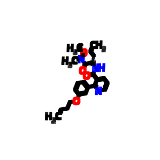 C=CCCOc1cccc(-c2ncccc2C(=O)N[C@@H](CC=C)C(=O)N(C)OC)c1